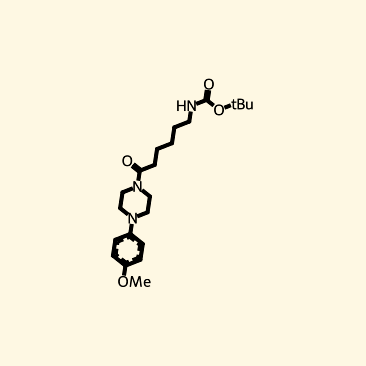 COc1ccc(N2CCN(C(=O)CCCCCNC(=O)OC(C)(C)C)CC2)cc1